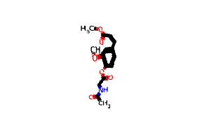 COC(=O)/C=C\c1ccc(OC(=O)CNC(C)=O)c(OC)c1